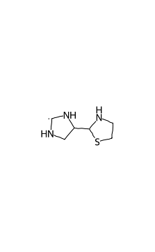 [CH]1NCC(C2NCCS2)N1